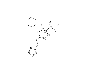 CC(C)[C@@H](O)[C@@H](O)[C@@H](CC1CCCCC1)NC(=O)CCc1c[nH]cn1